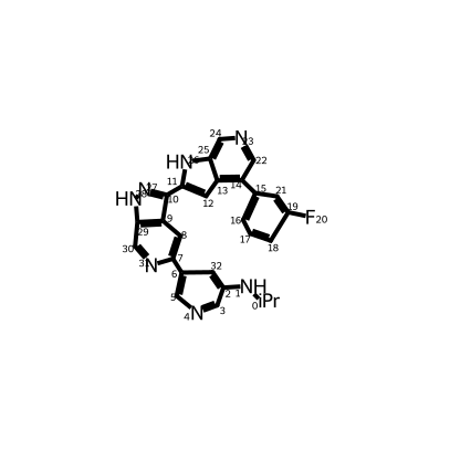 CC(C)Nc1cncc(-c2cc3c(-c4cc5c(-c6cccc(F)c6)cncc5[nH]4)n[nH]c3cn2)c1